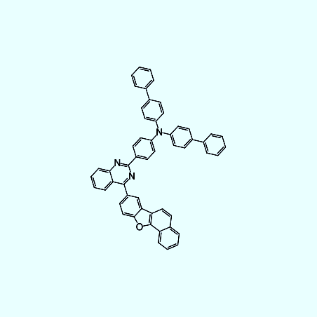 c1ccc(-c2ccc(N(c3ccc(-c4ccccc4)cc3)c3ccc(-c4nc(-c5ccc6oc7c8ccccc8ccc7c6c5)c5ccccc5n4)cc3)cc2)cc1